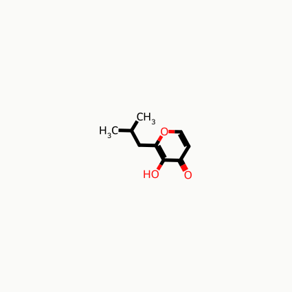 CC(C)Cc1occc(=O)c1O